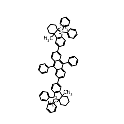 CC12CCCCC1(C)[Si](c1ccccc1)(c1ccccc1)c1ccc(-c3ccc4c(-c5ccccc5)c5cc(-c6ccc7c(c6)C6(C)CCCCC6(C)[Si]7(c6ccccc6)c6ccccc6)ccc5c(-c5ccccc5)c4c3)cc12